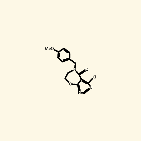 COc1ccc(CN2CCOc3ncnc(Cl)c3C2=O)cc1